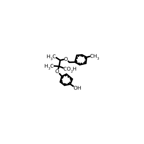 Cc1ccc(COC(C)C(C)(Oc2ccc(O)cc2)C(=O)O)cc1